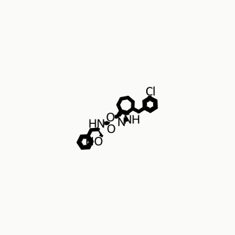 O=C(N[C@@H](CO)Cc1ccccc1)Oc1n[nH]c2c1CCCCC2Cc1cccc(Cl)c1